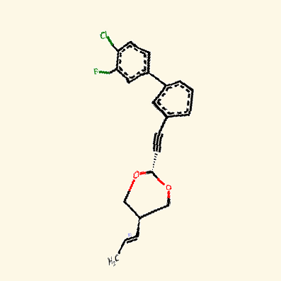 C/C=C/[C@H]1CO[C@H](C#Cc2cccc(-c3ccc(Cl)c(F)c3)c2)OC1